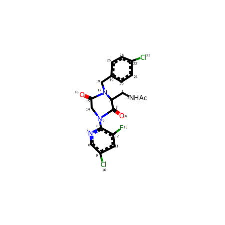 CC(=O)NCC1C(=O)N(c2ncc(Cl)cc2F)CC(=O)N1Cc1ccc(Cl)cc1